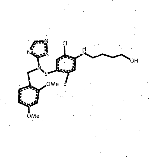 COc1ccc(CN(Sc2cc(Cl)c(NCCCCO)cc2F)c2ncns2)c(OC)c1